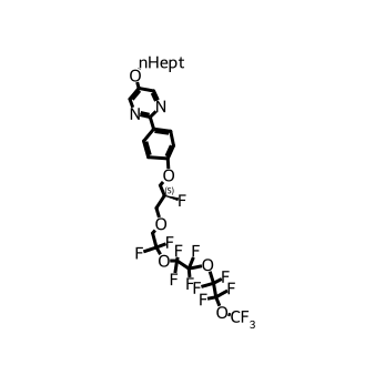 CCCCCCCOc1cnc(-c2ccc(OC[C@@H](F)COCC(F)(F)OC(F)(F)C(F)(F)OC(F)(F)C(F)(F)OC(F)(F)F)cc2)nc1